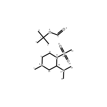 CC(C)(C)OC=O.CN1CCN(S(C)(=O)=O)C(N(C)C)C1